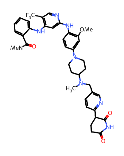 CNC(=O)c1ccccc1Nc1cc(Nc2ccc(N3CCC(N(C)Cc4ccc(C5CCC(=O)NC5=O)nc4)CC3)cc2OC)ncc1C(F)(F)F